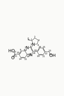 C[C@H]1CCCN1c1nc2cc(C(=O)O)ccc2nc1-c1ccc(CO)cc1